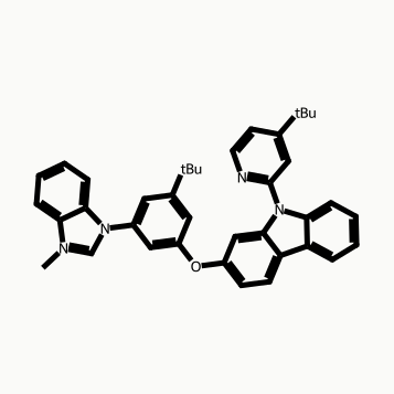 C[n+]1cn(-c2cc(Oc3ccc4c5ccccc5n(-c5cc(C(C)(C)C)ccn5)c4c3)cc(C(C)(C)C)c2)c2ccccc21